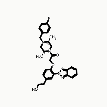 C[C@@H]1CN(Cc2ccc(F)cc2)[C@@H](C)CN1C(=O)COc1ccc(CCO)cc1-n1nc2ccccc2n1